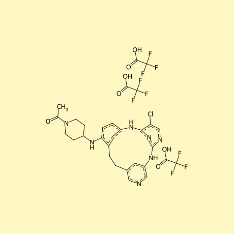 CC(=O)N1CCC(Nc2ccc3cc2CCc2cncc(c2)Nc2ncc(Cl)c(n2)N3)CC1.O=C(O)C(F)(F)F.O=C(O)C(F)(F)F.O=C(O)C(F)(F)F